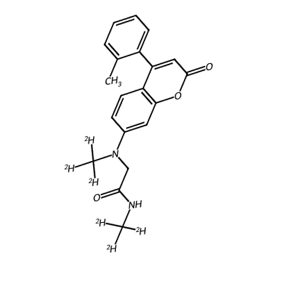 [2H]C([2H])([2H])NC(=O)CN(c1ccc2c(-c3ccccc3C)cc(=O)oc2c1)C([2H])([2H])[2H]